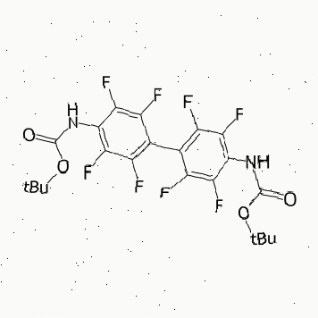 CC(C)(C)OC(=O)Nc1c(F)c(F)c(-c2c(F)c(F)c(NC(=O)OC(C)(C)C)c(F)c2F)c(F)c1F